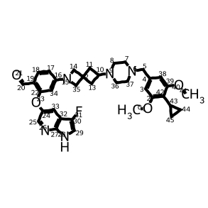 COc1cc(CN2CCN(C3CC4(C3)CN(c3ccc(C=O)c(Oc5cnc6[nH]cc(F)c6c5)c3)C4)CC2)cc(OC)c1C1CC1